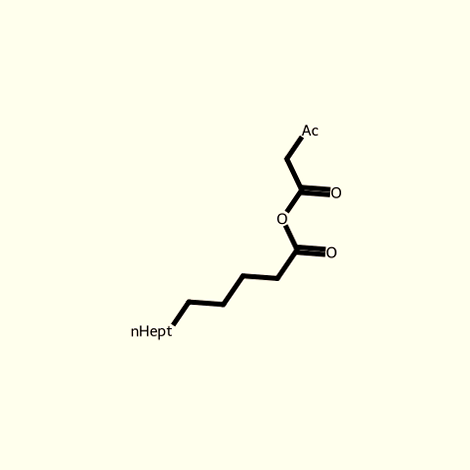 CCCCCCCCCCCC(=O)OC(=O)CC(C)=O